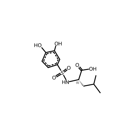 CC(C)C[C@H](NS(=O)(=O)c1ccc(O)c(O)c1)C(=O)O